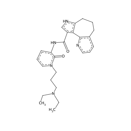 CCN(CC)CCCn1cccc(NC(=O)c2c[nH]c3c2-c2ncccc2CCC3)c1=O